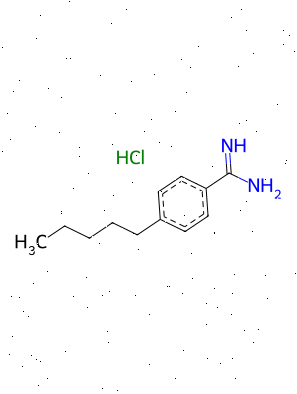 CCCCCc1ccc(C(=N)N)cc1.Cl